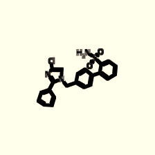 NS(=O)(=O)c1ccccc1-c1ccc(Cn2cc(Cl)nc2-c2ccccc2)cc1